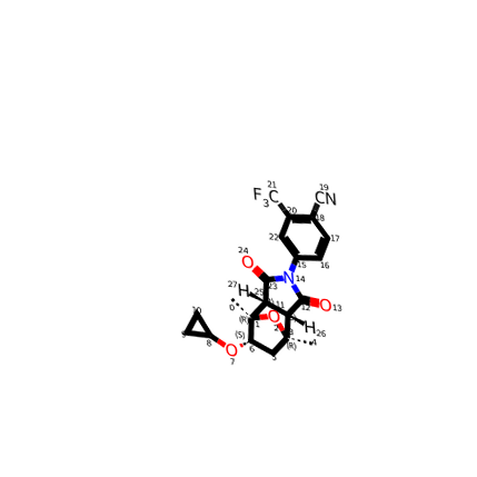 C[C@]12O[C@](C)(C[C@@H]1OC1CC1)[C@H]1C(=O)N(c3ccc(C#N)c(C(F)(F)F)c3)C(=O)[C@H]12